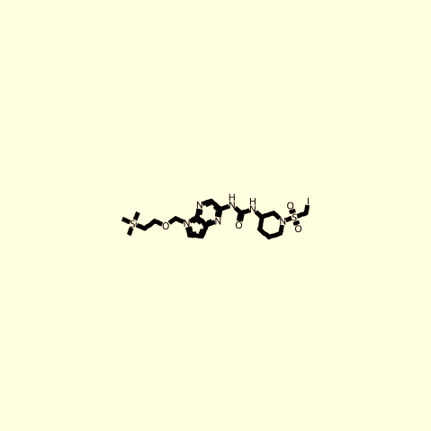 C[Si](C)(C)CCOCn1ccc2nc(NC(=O)NC3CCCN(S(=O)(=O)CI)C3)cnc21